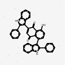 O=C1C(c2c(-c3ccccc3)[nH]c3ccccc23)=CC(=O)c2c(-c3c(-c4ccccc4)[nH]c4ccccc34)ccc(O)c21